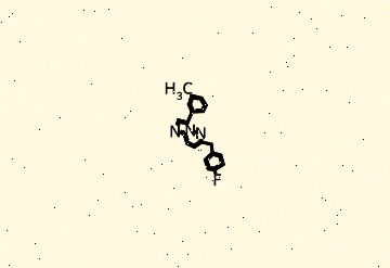 Cc1cccc(-c2cnc3ccc(Cc4ccc(F)cc4)nn23)c1